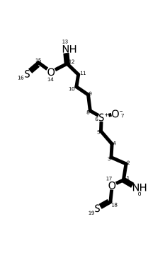 N=C(CCCC[S+]([O-])CCCCC(=N)OC=S)OC=S